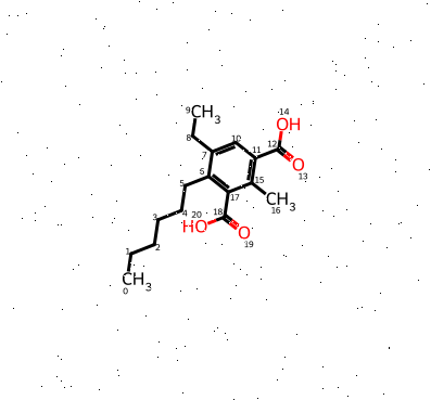 CCCCCCc1c(CC)cc(C(=O)O)c(C)c1C(=O)O